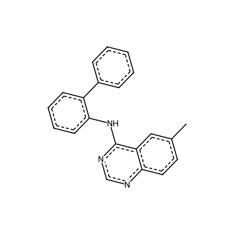 Cc1ccc2ncnc(Nc3ccccc3-c3ccccc3)c2c1